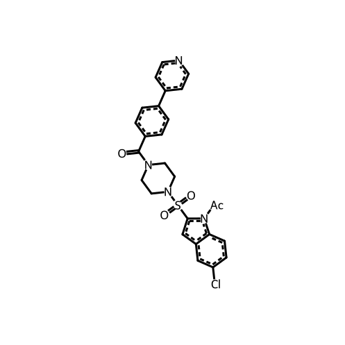 CC(=O)n1c(S(=O)(=O)N2CCN(C(=O)c3ccc(-c4ccncc4)cc3)CC2)cc2cc(Cl)ccc21